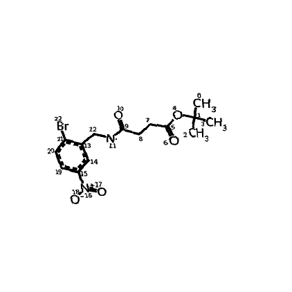 CC(C)(C)OC(=O)CCC(=O)[N]Cc1cc([N+](=O)[O-])ccc1Br